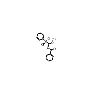 CC(C)(C)OC(OC(=O)c1ccccn1)C(Cl)(Cl)c1ccccc1